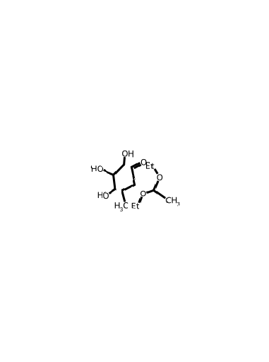 CCCC=O.CCOC(C)OCC.OCC(O)CO